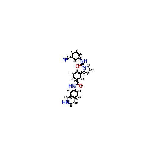 N#Cc1cccc(NC(=O)N2CCCC2c2cccc(C(=O)Nc3ccc4c(c3)CNCC4)c2)c1